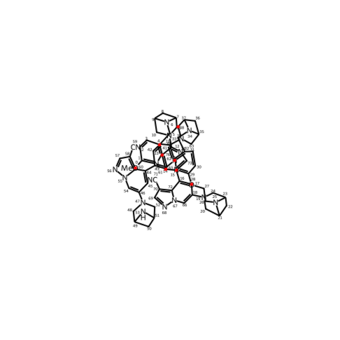 COc1ccc(CN2C3CC2CN(c2ccc(-c4cc(N5CC6CC(C5)N6CCOc5ccc(CN6C7CC6CN(c6ccc(-c8cc(N9CC%10CC(C9)N%10)cn9ncc(C#N)c89)cn6)C7)cn5)cn5ncc(C#N)c45)cn2)C3)cn1